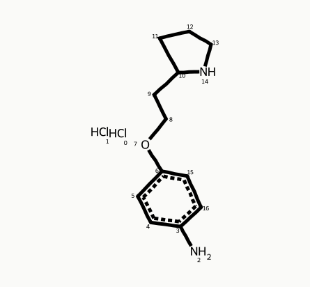 Cl.Cl.Nc1ccc(OCCC2CCCN2)cc1